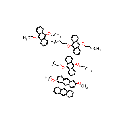 CCCCOc1c2ccccc2c(OCCCC)c2ccccc12.CCCOc1c2ccccc2c(OCCC)c2ccccc12.CCOc1c2ccccc2c(OCC)c2ccccc12.COc1ccc2cc3cc(OC)ccc3cc2c1.c1ccc2cc3ccccc3cc2c1